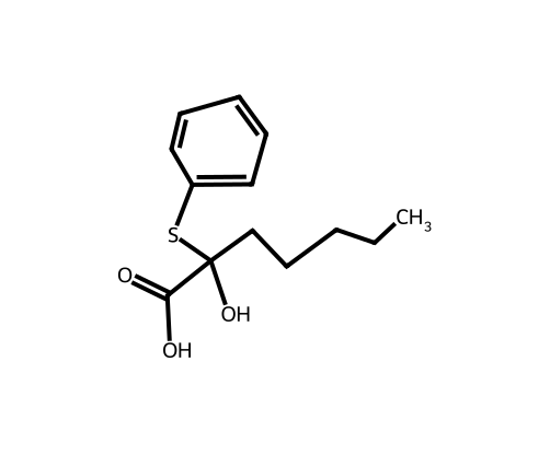 CCCCCC(O)(Sc1ccccc1)C(=O)O